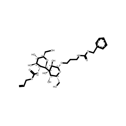 C=CCOC(=O)N[C@@H]1[C@@H](O)[C@H](O)[C@@H](CO)O[C@H]1[C@@]1(O)[C@@H](O)[C@H](OCCCNC(=O)OCc2ccccc2)O[C@H](CO)[C@@H]1O